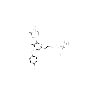 COc1ccc(Cn2cc(/C=C/CO[Si](C)(C)C(C)(C)C)nc(N3CCNC(=O)C3)c2=O)cc1